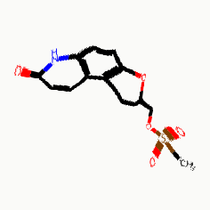 CS(=O)(=O)OCC1Cc2c(ccc3[nH]c(=O)ccc23)O1